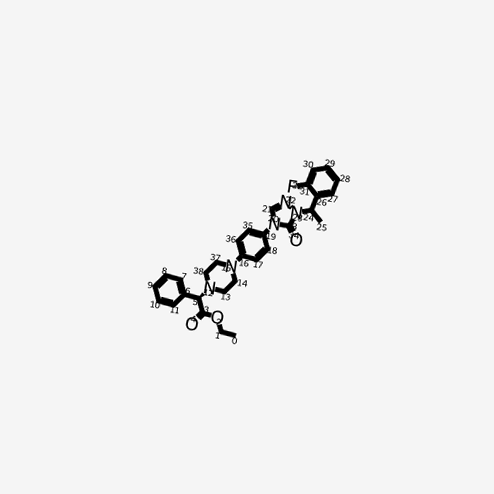 CCOC(=O)[C@@H](c1ccccc1)N1CCN(c2ccc(-n3cnn(C(C)c4ccccc4F)c3=O)cc2)CC1